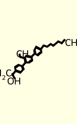 C=C(CO)c1ccc(-c2ccc(-c3ccc(CCCCCCCC)cc3)cc2CC)cc1